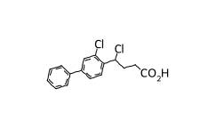 O=C(O)CCC(Cl)c1ccc(-c2ccccc2)cc1Cl